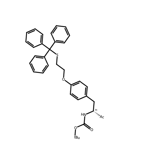 CC(=O)[C@@H](Cc1ccc(OCCSC(c2ccccc2)(c2ccccc2)c2ccccc2)cc1)NC(=O)OC(C)(C)C